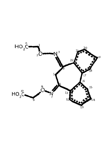 O=C(O)CON=C1CC(=NOCC(=O)O)c2ccccc2-c2ccccc21